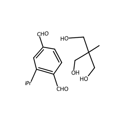 CC(C)c1cc(C=O)ccc1C=O.CC(CO)(CO)CO